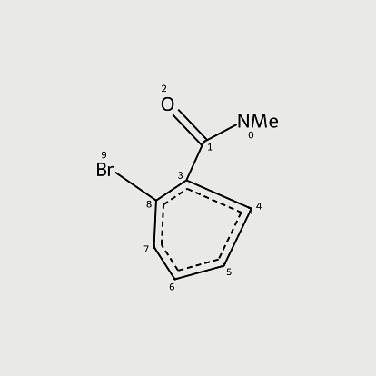 CNC(=O)c1[c]cccc1Br